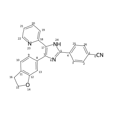 N#Cc1ccc(-c2nc(-c3ccc4c(c3)OCC4)c(-c3ccccn3)[nH]2)cc1